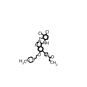 C=CC(=O)N1CC(c2cc3c(Nc4ccc(Cl)c(Cl)c4F)ncnc3cc2OCCN2CCN(C)CC2)C1